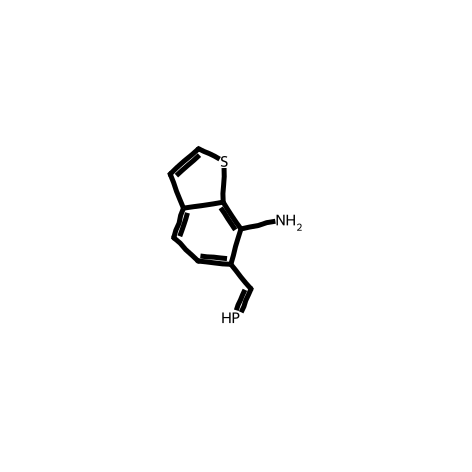 Nc1c(C=P)ccc2ccsc12